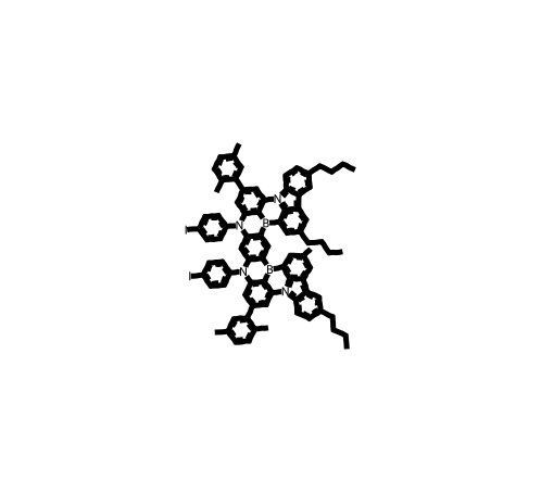 CCCCc1ccc2c(c1)c1cc(C)cc3c1n2-c1cc(-c2cc(C)ccc2C)cc2c1B3c1cc3c(cc1N2c1ccc(I)cc1)N(c1ccc(I)cc1)c1cc(-c2cc(C)ccc2C)cc2c1B3c1cc(CCCC)cc3c4cc(CCCC)ccc4n-2c13